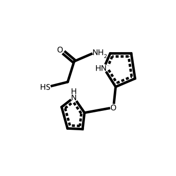 NC(=O)CS.c1c[nH]c(Oc2ccc[nH]2)c1